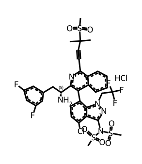 CC(C)(C#Cc1nc([C@@H](N)Cc2cc(F)cc(F)c2)c(-c2ccc(Cl)c3c(N(S(C)(=O)=O)S(C)(=O)=O)nn(CC(F)(F)F)c23)c2ccccc12)S(C)(=O)=O.Cl